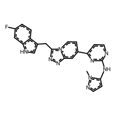 Cn1nccc1Nc1nccc(-c2ccn3c(Cc4c[nH]c5cc(F)ccc45)nnc3c2)n1